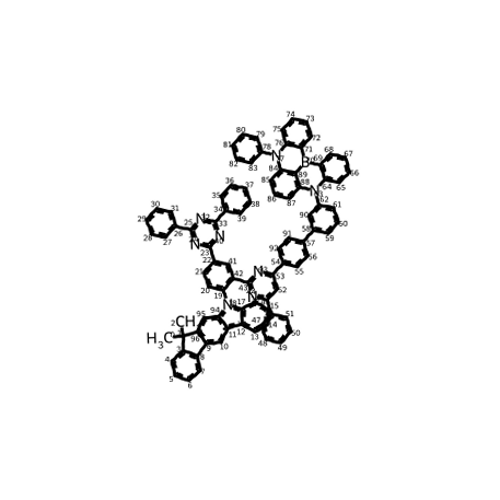 CC1(C)c2ccccc2-c2cc3c4ccccc4n(-c4ccc(-c5nc(-c6ccccc6)nc(-c6ccccc6)n5)cc4-c4nc(-c5ccccc5)cc(-c5ccc(-c6cccc(N7c8ccccc8B8c9ccccc9N(c9ccccc9)c9cccc7c98)c6)cc5)n4)c3cc21